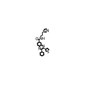 O=C(NCCCn1ccnc1)c1ccc2nc(-c3ccccc3)c(-c3ccsc3)nc2c1